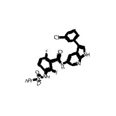 CCCS(=O)(=O)Nc1ccc(F)c(C(=O)Nc2cnc3[nH]cc(-c4cccc(Cl)c4)c3c2)c1F